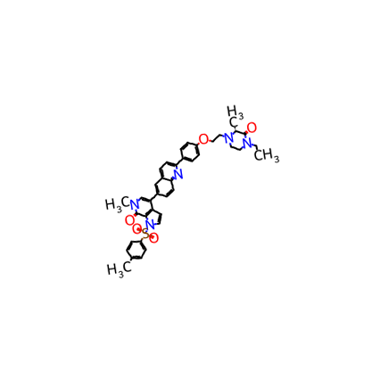 CCN1CCN(CCOc2ccc(-c3ccc4cc(-c5cn(C)c(=O)c6c5ccn6S(=O)(=O)c5ccc(C)cc5)ccc4n3)cc2)[C@H](C)C1=O